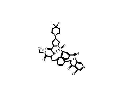 CCOC(=O)[C@H](Cc1ccc(NC(=O)c2c(Cl)cncc2Cl)cc1)NC(=O)C1CC(N2CCC(F)(F)CC2)CN1S(=O)(=O)c1cccc(C#N)c1